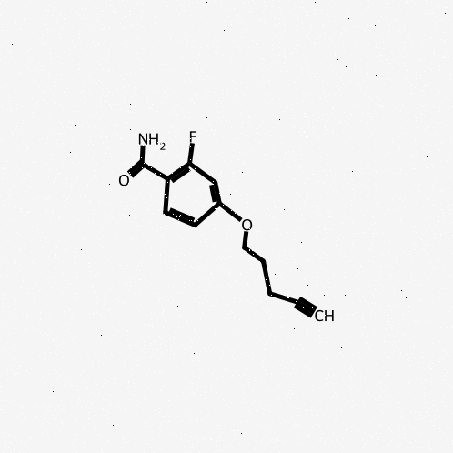 C#CCCCOc1ccc(C(N)=O)c(F)c1